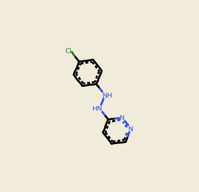 Clc1ccc(NNc2cccnn2)cc1